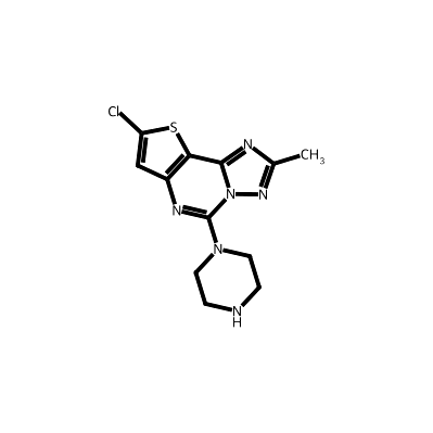 Cc1nc2c3sc(Cl)cc3nc(N3CCNCC3)n2n1